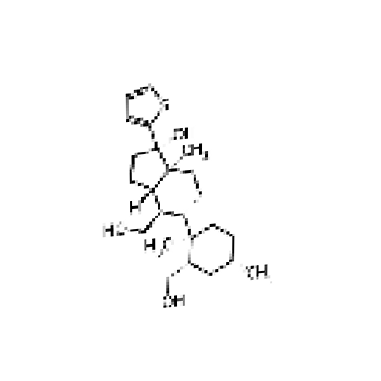 C[C@H]1CC[C@](C)([C@H]2CC[C@@]3(C)[C@@H](CC[C@@]3(O)c3cccs3)[C@@H]2CO)[C@@H](CO)C1